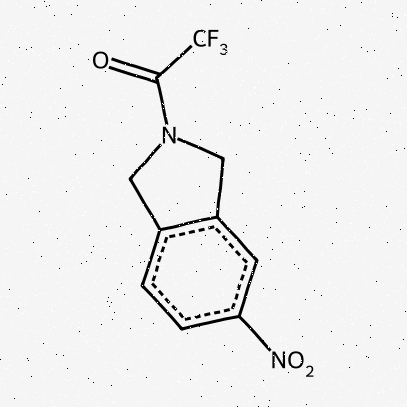 O=C(N1Cc2ccc([N+](=O)[O-])cc2C1)C(F)(F)F